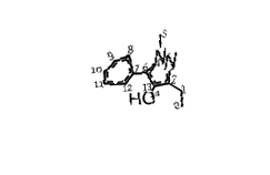 CCc1nn(C)c(-c2ccccc2)c1O